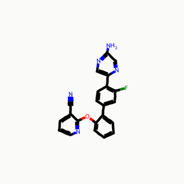 N#Cc1cccnc1Oc1ccccc1-c1ccc(-c2cnc(N)cn2)c(F)c1